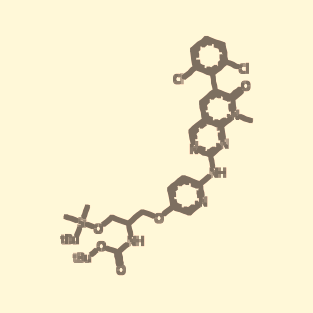 Cn1c(=O)c(-c2c(Cl)cccc2Cl)cc2cnc(Nc3ccc(OCC(CO[Si](C)(C)C(C)(C)C)NC(=O)OC(C)(C)C)cn3)nc21